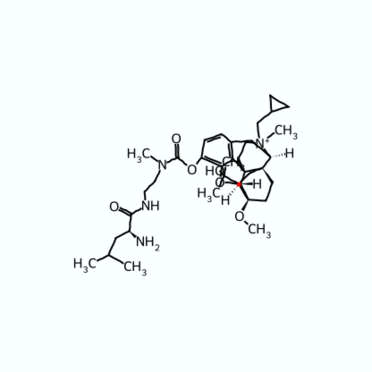 CO[C@]12CC[C@@]3(C[C@@H]1C(C)(C)O)[C@H]1Cc4ccc(OC(=O)N(C)CCNC(=O)[C@@H](N)CC(C)C)c5c4[C@@]3(CC[N+]1(C)CC1CC1)[C@H]2O5